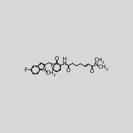 CN(C)C(=O)/C=C/CC[CH]C(=O)Nc1cccn(Cc2cc3cc(F)ccc3n2C)c1=O